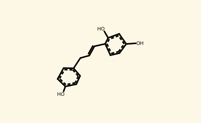 Oc1ccc(CC=Cc2ccc(O)cc2O)cc1